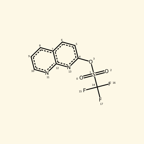 O=S(=O)(Oc1ccc2cccnc2n1)C(F)(F)F